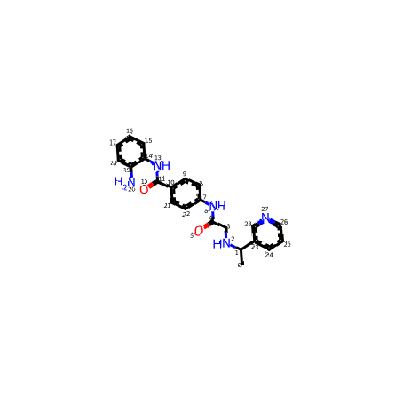 CC(NCC(=O)Nc1ccc(C(=O)Nc2ccccc2N)cc1)c1cccnc1